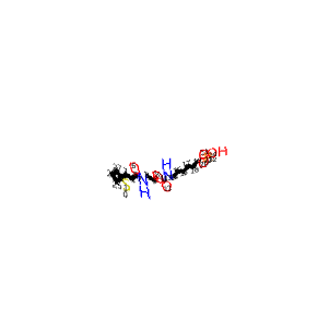 CSC1(CCC(=O)NCCOC(=O)NCCCCCCOP(C)(=O)O)CCC1